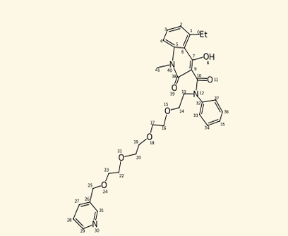 CCc1cccc2c1c(O)c(C(=O)N(CCOCCOCCOCCOCc1cccnc1)c1ccccc1)c(=O)n2C